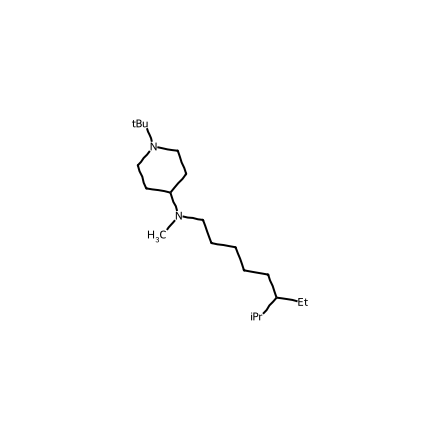 CCC(CCCCCN(C)C1CCN(C(C)(C)C)CC1)C(C)C